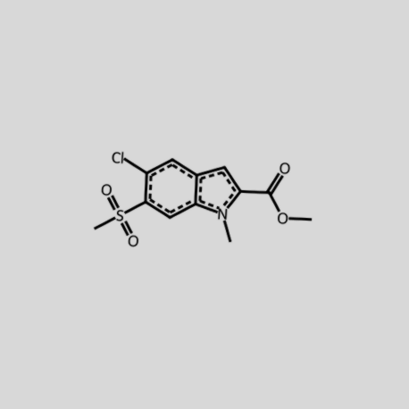 COC(=O)c1cc2cc(Cl)c(S(C)(=O)=O)cc2n1C